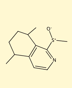 CC1CCC(C)c2c1ccnc2[S+](C)[O-]